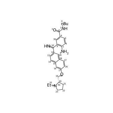 CCCCNC(=O)c1ccc(N)c(C(=N)c2ccc3cc(OC[C@@H]4CCCN4CC)ccc3c2)c1